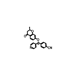 CC1CC(=O)c2ccc(O[C@@H](c3ccncc3)c3ccc(C#N)cc3)cc2O1